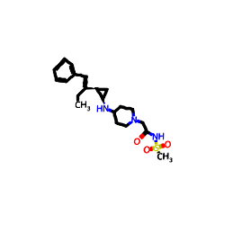 CC/C(=C\c1ccccc1)[C@H]1C[C@@H]1NC1CCN(CC(=O)NS(C)(=O)=O)CC1